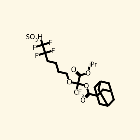 CC(C)OC(=O)C(OCCCCC(F)(F)C(F)(F)S(=O)(=O)O)(OC(=O)C12CC3CC(CC(C3)C1)C2)C(F)(F)F